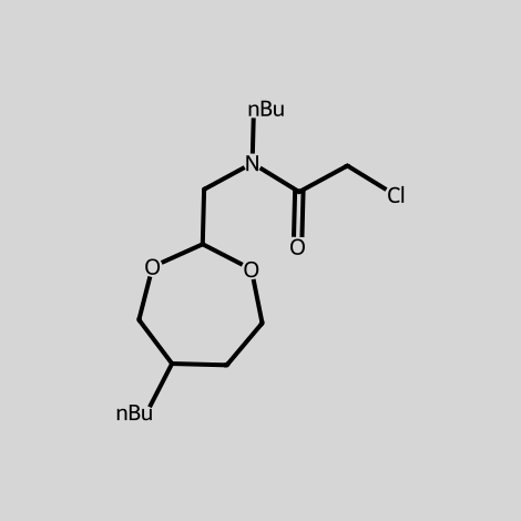 CCCCC1CCOC(CN(CCCC)C(=O)CCl)OC1